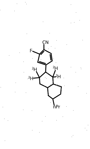 [2H]C1([2H])CC2CC(CCC)CCC2C([2H])([2H])C1c1ccc(C#N)c(F)c1